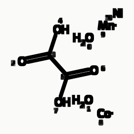 O.O.O=C(O)C(=O)O.[Co].[Mn].[Ni]